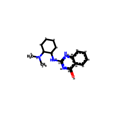 CN(C)C1CCCCC1Nc1nc(=O)c2ccccc2[nH]1